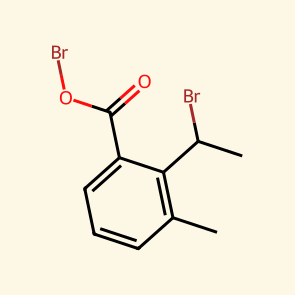 Cc1cccc(C(=O)OBr)c1C(C)Br